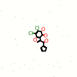 O=C1C(=O)c2c(C(=O)C3=CCC=C3)coc2C(Cl)=C1Cl